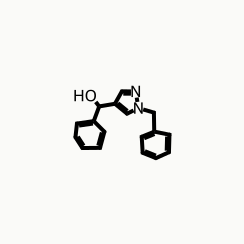 OC(c1ccccc1)c1cnn(Cc2ccccc2)c1